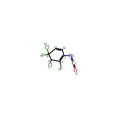 O=C=NC1=C(F)C(Cl)C(F)(Cl)C=C1